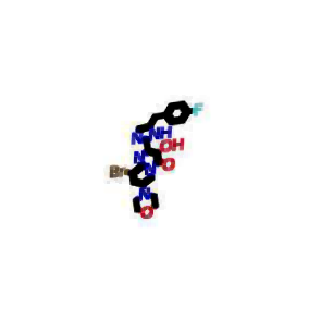 O=c1c(O)c(-c2ncc(Cc3ccc(F)cc3)[nH]2)nc2c(Br)cc(N3CCOCC3)cn12